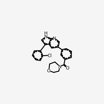 O=C(c1cccc(-c2cnc3[nH]cc(-c4ccccc4Cl)c3c2)c1)N1CCOCC1